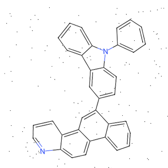 c1ccc(-n2c3ccccc3c3cc(-c4cc5c6cccnc6ccc5c5ccccc45)ccc32)cc1